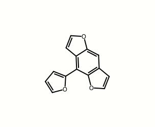 c1coc(-c2c3ccoc3cc3ccoc23)c1